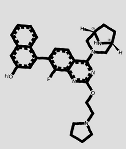 Oc1cc(-c2ccc3c(N4C[C@H]5CC[C@@H](C4)N5)nc(OCCN4CCCC4)nc3c2F)c2ccccc2c1